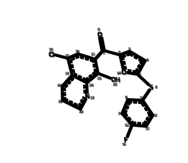 O=C(c1ccc(Sc2ccc(F)cc2)o1)c1cc(Cl)c2cccnc2c1O